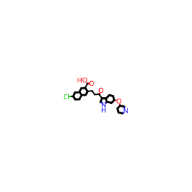 O=C(O)c1cc2cc(Cl)ccc2cc1CCC(=O)c1c[nH]c2cc(Oc3cccnc3)ccc12